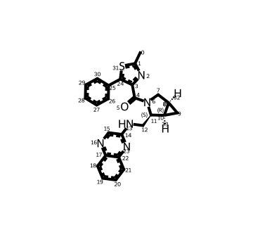 Cc1nc(C(=O)N2C[C@H]3C[C@H]3[C@H]2CNc2cnc3ccccc3n2)c(-c2ccccc2)s1